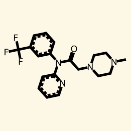 CN1CCN(CC(=O)N(c2cccc(C(F)(F)F)c2)c2ccccn2)CC1